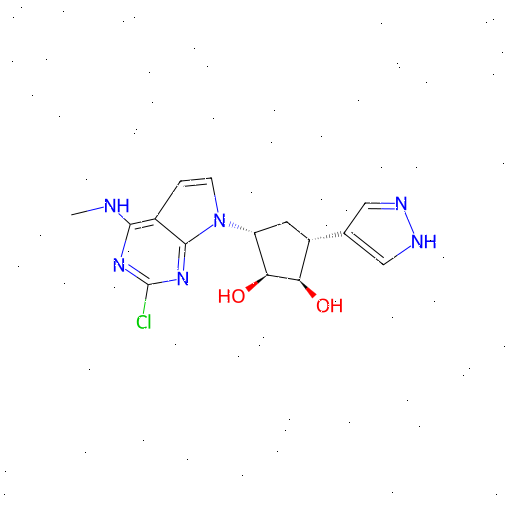 CNc1nc(Cl)nc2c1ccn2[C@@H]1C[C@H](c2cn[nH]c2)[C@@H](O)[C@H]1O